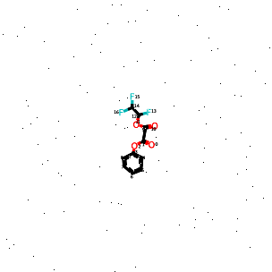 O=C(Oc1ccccc1)C(=O)OC(F)C(F)F